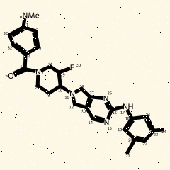 CNc1ccc(C(=O)N2CCC(N3Cc4cnc(Nc5cc(C)cc(C)c5)nc4C3)C(F)C2)cc1